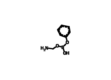 NCOB(O)Oc1ccccc1